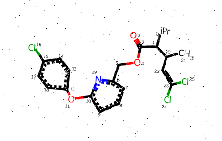 CC(C)C(C(=O)OCc1cccc(Oc2ccc(Cl)cc2)n1)C(C)C=C(Cl)Cl